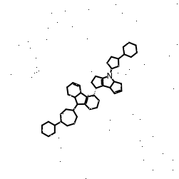 C1=CC2C3=C(CCCC3[C@@H]3CCC4=C3C3C=CCC3N4C3CCC(C4CCCCC4)C3)C(C3CCCC(C4CCCCC4)CC3)C2CC1